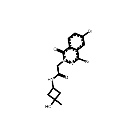 CC1(O)CC(NC(=O)Cn2nc(Br)c3cc(Br)ccc3c2=O)C1